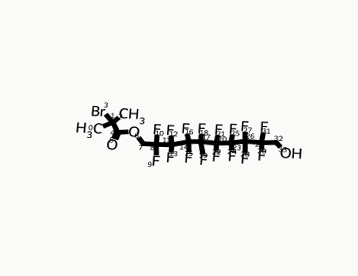 CC(C)(Br)C(=O)OCC(F)(F)C(F)(F)C(F)(F)C(F)(F)C(F)(F)C(F)(F)C(F)(F)C(F)(F)CO